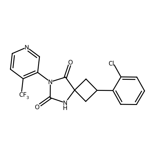 O=C1NC2(CC(c3ccccc3Cl)C2)C(=O)N1c1cnccc1C(F)(F)F